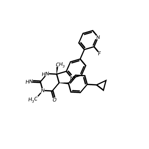 CN1C(=N)N[C@](C)(c2cc(-c3cccnc3F)ccn2)[C@@H](c2ccc(C3CC3)cc2)C1=O